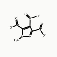 Nn1nc([N+](=O)[O-])c([N+](=O)[O-])c1[N+](=O)[O-]